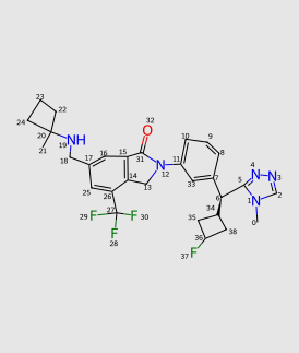 Cn1cnnc1[C@H](c1cccc(N2Cc3c(cc(CNC4(C)CCC4)cc3C(F)(F)F)C2=O)c1)C1CC(F)C1